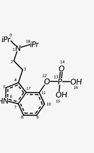 CC(C)N(CCc1c[nH]c2cccc(OP(=O)(O)O)c12)C(C)C